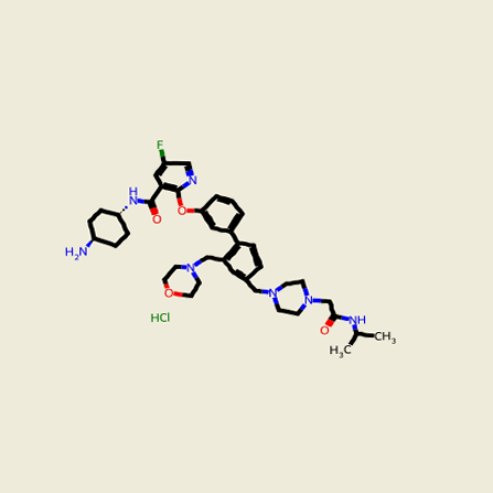 CC(C)NC(=O)CN1CCN(Cc2ccc(-c3cccc(Oc4ncc(F)cc4C(=O)N[C@H]4CC[C@H](N)CC4)c3)c(CN3CCOCC3)c2)CC1.Cl